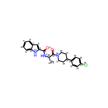 CC(C)[C@@H](NC(=O)c1cc2ccccc2[nH]1)C(=O)N1CCC(c2ccc(Cl)cc2)CC1